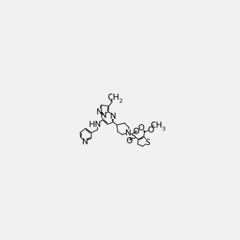 C=Cc1cnn2c(NCc3cccnc3)cc(C3CCN(S(=O)(=O)C4=C(C(=O)OC)SCC4)CC3)nc12